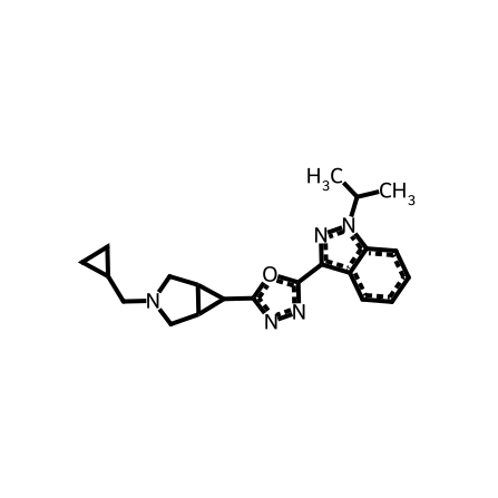 CC(C)n1nc(-c2nnc(C3C4CN(CC5CC5)CC43)o2)c2ccccc21